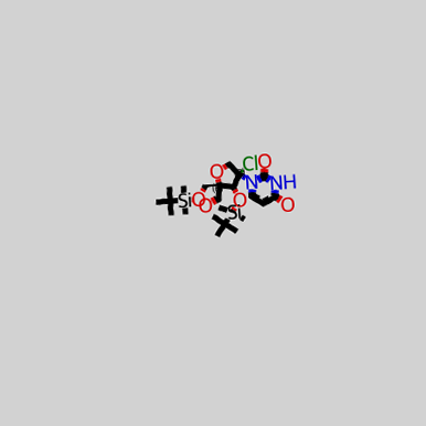 CC(C)(C)[Si](C)(C)OC[C@@]1(C=O)OC[C@](Cl)(n2ccc(=O)[nH]c2=O)C1O[Si](C)(C)C(C)(C)C